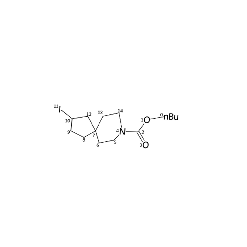 CCCCOC(=O)N1CCC2(CCC(I)C2)CC1